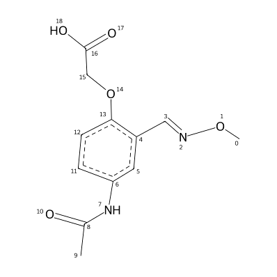 CON=Cc1cc(NC(C)=O)ccc1OCC(=O)O